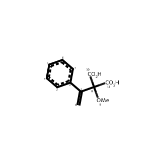 C=C(c1ccccc1)C(OC)(C(=O)O)C(=O)O